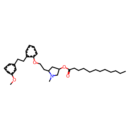 CCCCCCCCCCCC(=O)OC1CC(CCOc2ccccc2CCc2cccc(OC)c2)N(C)C1